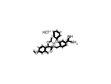 CCOC(C(=O)NCc1ccc(C(=N)N)cc1Oc1ccccc1)c1ccc(OC)cc1F.Cl